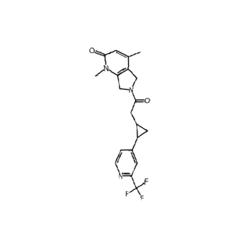 Cc1cc(=O)n(C)c2c1CN(C(=O)CC1CC1c1ccnc(C(F)(F)F)c1)C2